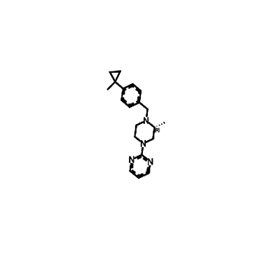 C[C@@H]1CN(c2ncccn2)CCN1Cc1ccc(C2(C)CC2)cc1